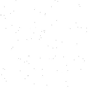 C=CCC/C=C/CCCCCCC(=O)CCCC